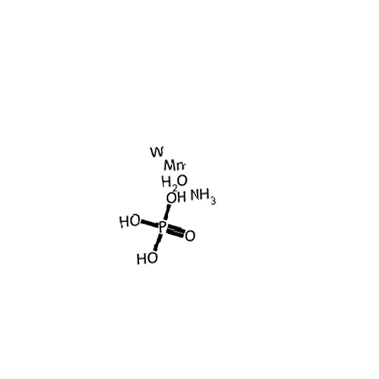 N.O.O=P(O)(O)O.[Mn].[W]